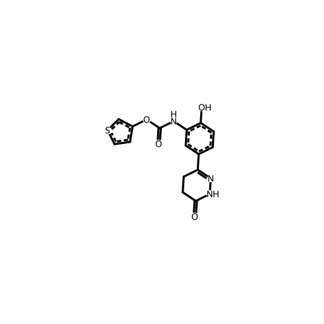 O=C1CCC(c2ccc(O)c(NC(=O)Oc3ccsc3)c2)=NN1